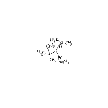 C[SiH](C)C(Br)C(C)(C)C.[MgH2]